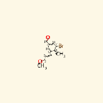 COCC=Cc1cc(C=O)cc(Br)c1C